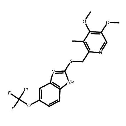 COc1cnc(CSc2nc3cc(OC(F)(F)Cl)ccc3[nH]2)c(C)c1OC